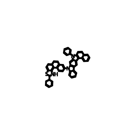 C1=CCC(C2Nc3c(ccc4ccc5cc(-n6c7ccccc7c7cc8c9c%10ccccc%10ccc9n(-c9ccccc9)c8cc76)ccc5c34)S2)C=C1